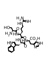 N=C(N)NCCC[C@H](NC(=O)[C@@H](N)CO)C(=O)N[C@@H](Cc1c[nH]c2ccccc12)C(=O)N[C@@H](Cc1c[nH]cn1)C(=O)O